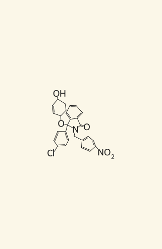 O=C1c2ccccc2C(OC2C=CC(O)CC2)(c2ccc(Cl)cc2)N1Cc1ccc([N+](=O)[O-])cc1